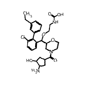 CCc1cccc(-c2c(Cl)cccc2C(OCCNC(=O)O)C2CN(C(=O)C3CC(N)C(O)C3)CCO2)c1